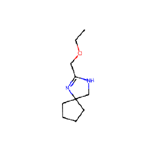 CCOCC1=NC2(CCCC2)CN1